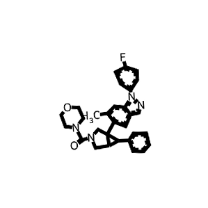 Cc1cc2c(cnn2-c2ccc(F)cc2)cc1C12CN(C(=O)N3CCOCC3)CC1C2c1ccccc1